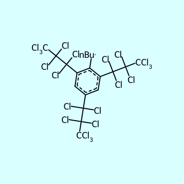 CCC[CH]c1c(C(Cl)(Cl)C(Cl)(Cl)C(Cl)(Cl)Cl)cc(C(Cl)(Cl)C(Cl)(Cl)C(Cl)(Cl)Cl)cc1C(Cl)(Cl)C(Cl)(Cl)C(Cl)(Cl)Cl